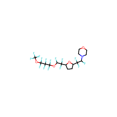 FC(OC(F)(F)C(F)(F)C(F)(F)OC(F)(F)F)C(F)(F)C1CCC(C(F)(F)C(F)N2CCOCC2)O1